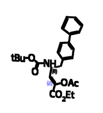 CCOC(=O)/C(=C/[C@@H](Cc1ccc(-c2ccccc2)cc1)NC(=O)OC(C)(C)C)OC(C)=O